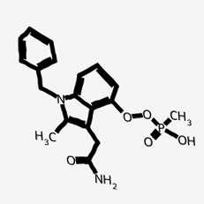 Cc1c(CC(N)=O)c2c(OOP(C)(=O)O)cccc2n1Cc1ccccc1